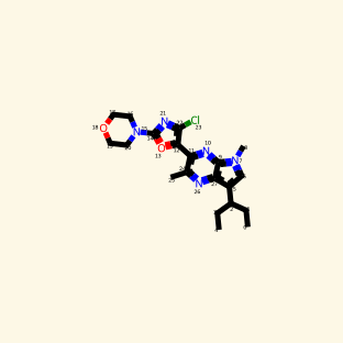 CCC(CC)c1cn(C)c2nc(-c3oc(N4CCOCC4)nc3Cl)c(C)nc12